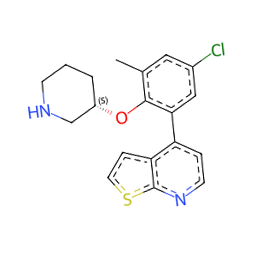 Cc1cc(Cl)cc(-c2ccnc3sccc23)c1O[C@H]1CCCNC1